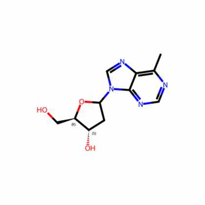 Cc1ncnc2c1ncn2C1C[C@H](O)[C@@H](CO)O1